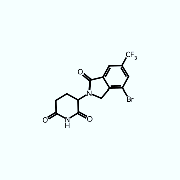 O=C1CCC(N2Cc3c(Br)cc(C(F)(F)F)cc3C2=O)C(=O)N1